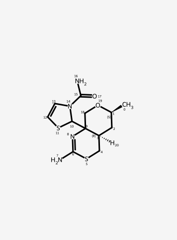 C[C@H]1C[C@H]2CSC(N)=NC2(C2SC=[C]N2C(N)=O)CO1